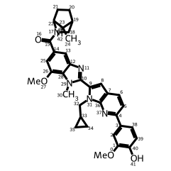 COc1cc(-c2ccc3cc(-c4nc5cc(C(=O)N6CC7CCC6[C@@H]7C)cc(OC)c5n4C)n(CC4CC4)c3n2)ccc1O